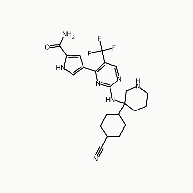 N#CC1CCC(C2(Nc3ncc(C(F)(F)F)c(-c4c[nH]c(C(N)=O)c4)n3)CCCNC2)CC1